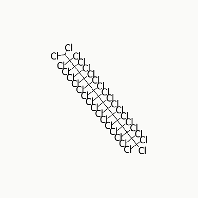 ClC(Cl)C(Cl)(Cl)C(Cl)(Cl)C(Cl)(Cl)C(Cl)(Cl)C(Cl)(Cl)C(Cl)(Cl)C(Cl)(Cl)C(Cl)(Cl)C(Cl)(Cl)C(Cl)(Cl)C(Cl)(Cl)C(Cl)(Cl)C(Cl)(Cl)C(Cl)(Cl)C(Cl)(Cl)Cl